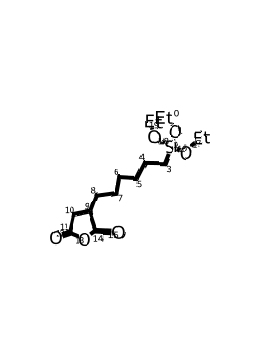 CCO[Si](CCCCCCC1CC(=O)OC1=O)(OCC)OCC